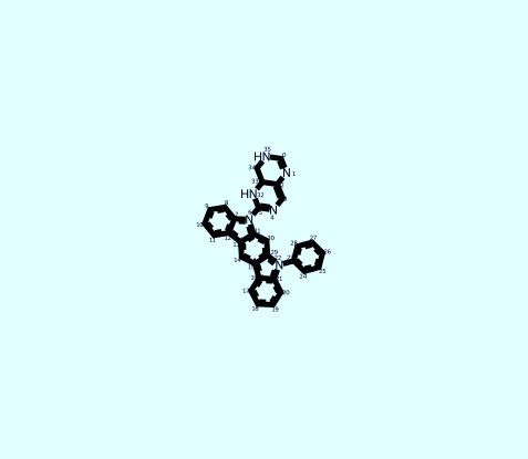 C1=NC2=CN=C(n3c4ccccc4c4cc5c6ccccc6n(-c6ccccc6)c5cc43)NC2CN1